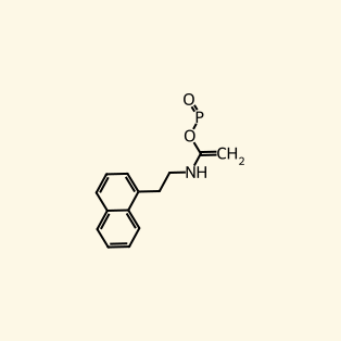 C=C(NCCc1cccc2ccccc12)OP=O